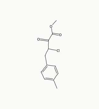 COC(=O)C(=O)C(Cl)Cc1ccc(C)cc1